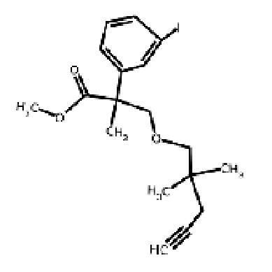 C#CCC(C)(C)COCC(C)(C(=O)OC)c1cccc(I)c1